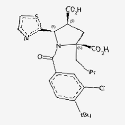 CC(C)C[C@@]1(C(=O)O)C[C@H](C(=O)O)[C@H](c2nccs2)N1C(=O)c1ccc(C(C)(C)C)c(Cl)c1